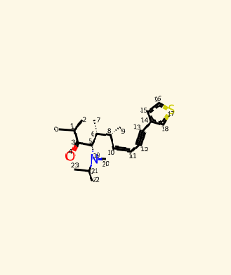 CC(C)C(=O)[C@H]([C@H](C)[C@H](C)/C=C\C#Cc1ccsc1)N(C)C(C)C